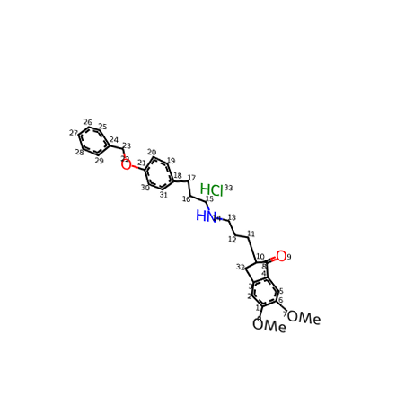 COc1cc2c(cc1OC)C(=O)C(CCCNCCCc1ccc(OCc3ccccc3)cc1)C2.Cl